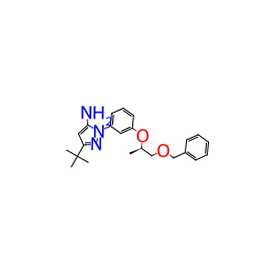 C[C@H](COCc1ccccc1)Oc1cccc(-n2nc(C(C)(C)C)cc2N)c1